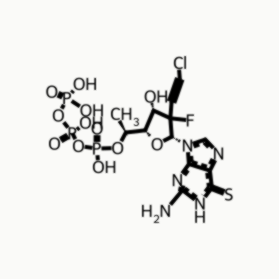 C[C@H](OP(=O)(O)OP(=O)(O)OP(=O)(O)O)[C@H]1O[C@@H](n2cnc3c(=S)[nH]c(N)nc32)C(F)(C#CCl)[C@H]1O